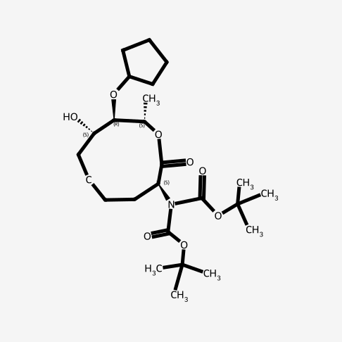 C[C@@H]1OC(=O)[C@@H](N(C(=O)OC(C)(C)C)C(=O)OC(C)(C)C)CCCC[C@H](O)[C@H]1OC1CCCC1